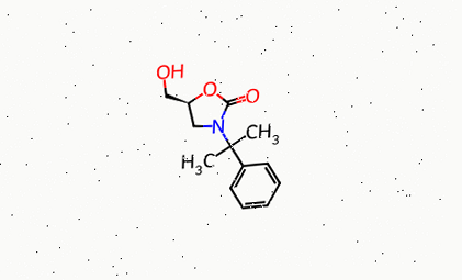 CC(C)(c1ccccc1)N1C[C@@H](CO)OC1=O